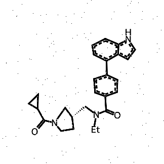 CCN(C[C@@H]1CCN(C(=O)C2CC2)C1)C(=O)c1ccc(-c2cccc3[nH]ccc23)cc1